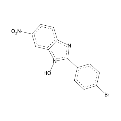 O=[N+]([O-])c1ccc2nc(-c3ccc(Br)cc3)n(O)c2c1